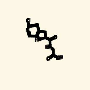 O=C(O)CNC(=O)C1Cc2cc(Cl)ncc2N1